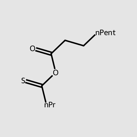 CCCCCCCC(=O)OC(=S)CCC